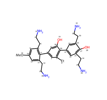 CCc1cc(-c2c(CCN)cc(OC)cc2CCN)cc(O)c1-c1cc(CCN)c(O)c(CCN)c1